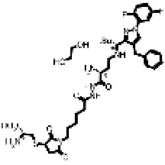 CC(C)(C)[C@@H](NCC[C@H](N)C(=O)NNC(=O)CCCCCN1C(=O)CC(SC[C@H](N)C(=O)O)C1=O)c1nn(-c2cc(F)ccc2F)cc1Cc1ccccc1.OCCO